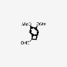 COc1cc2c(cc1OC)[C@@H](C=O)C2